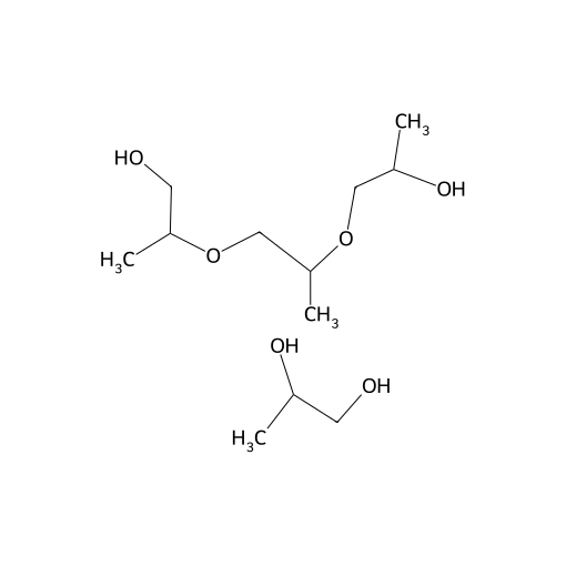 CC(O)CO.CC(O)COC(C)COC(C)CO